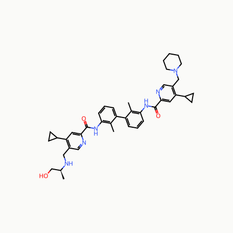 Cc1c(NC(=O)c2cc(C3CC3)c(CN[C@@H](C)CO)cn2)cccc1-c1cccc(NC(=O)c2cc(C3CC3)c(CN3CCCCC3)cn2)c1C